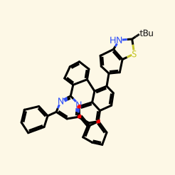 CC(C)(C)C1Nc2ccc(-c3ccc4ccccc4c3-c3ccccc3-c3nc(-c4ccccc4)cc(-c4ccccc4)n3)cc2S1